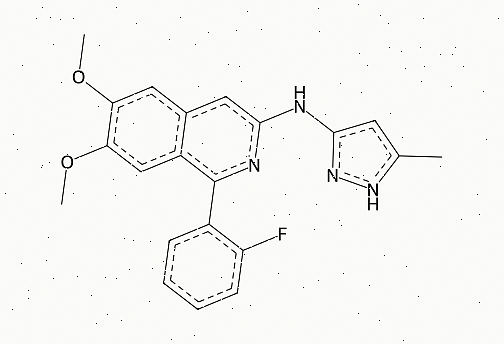 COc1cc2cc(Nc3cc(C)[nH]n3)nc(-c3ccccc3F)c2cc1OC